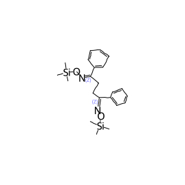 C[Si](C)(C)O/N=C(/CC/C(=N/O[Si](C)(C)C)c1ccccc1)c1ccccc1